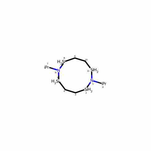 CC(C)N1[SiH2]CC[SiH2]N(C(C)C)[SiH2]CC[SiH2]1